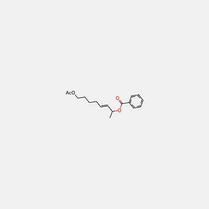 CC(=O)OCCCCC=CC(C)OC(=O)c1ccccc1